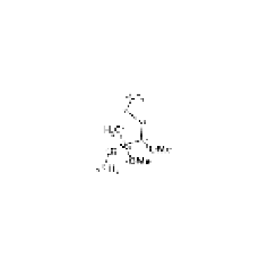 COC(CCC(F)(F)F)[Si](C)(OC)O[SiH3]